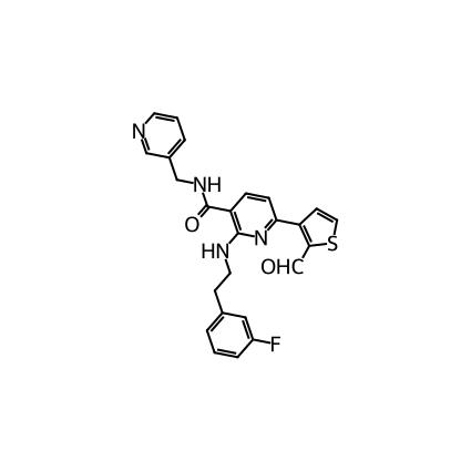 O=Cc1sccc1-c1ccc(C(=O)NCc2cccnc2)c(NCCc2cccc(F)c2)n1